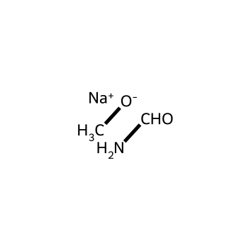 C[O-].NC=O.[Na+]